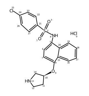 Cl.O=S(=O)(Nc1ccc(O[C@H]2CCNC2)c2ccccc12)c1ccc(Cl)cc1